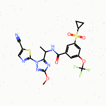 COc1nc(C(C)NC(=O)c2cc(OC(F)(F)F)cc(S(=O)(=O)C3CC3)c2)n(-c2ncc(C#N)s2)n1